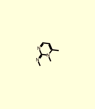 C/N=c1/nccc(C)n1C